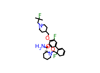 CC(C)(F)CN1CCC(COc2ccc(C3=CC=CCC3(F)C(=O)N3CCCC[C@@H]3C(N)=O)cc2F)CC1